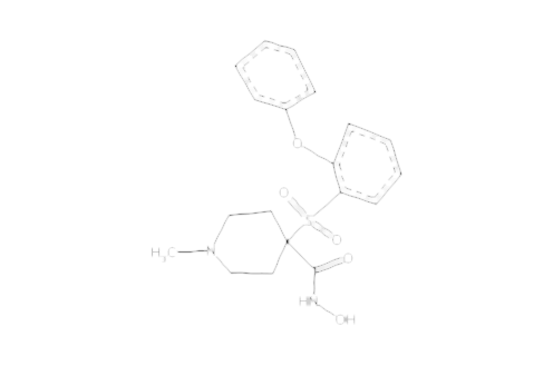 CN1CCC(C(=O)NO)(S(=O)(=O)c2ccccc2Oc2ccccc2)CC1